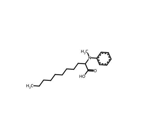 CCCCCCCCCC(C(=O)O)N(C)c1ccccc1